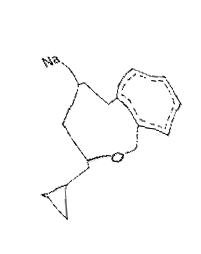 [Na][CH]1CC(C2CC2)Oc2ccccc21